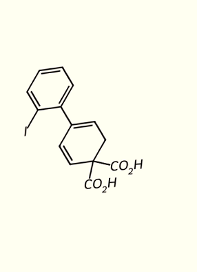 O=C(O)C1(C(=O)O)C=CC(c2ccccc2I)=CC1